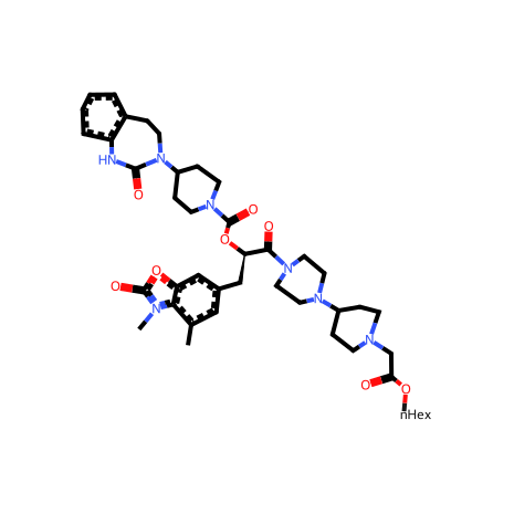 CCCCCCOC(=O)CN1CCC(N2CCN(C(=O)[C@@H](Cc3cc(C)c4c(c3)oc(=O)n4C)OC(=O)N3CCC(N4CCc5ccccc5NC4=O)CC3)CC2)CC1